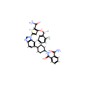 C[C@@H](Oc1cc(-n2cnc3ccc(C4CCC(NC(=O)c5ccccc5C(N)=O)CC4)cc32)sc1C(N)=O)c1ccccc1Cl